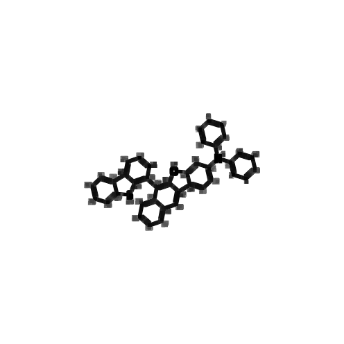 c1ccc(N(c2ccccc2)c2ccc3c(c2)oc2c(-c4cccc5c4sc4ccccc45)c4ccccc4cc23)cc1